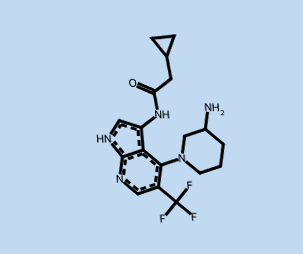 NC1CCCN(c2c(C(F)(F)F)cnc3[nH]cc(NC(=O)CC4CC4)c23)C1